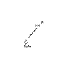 CNC1CN(CCOCCOCCNCC(C)C)C1